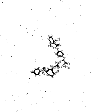 COC(=O)C(Cc1ccc(NC(=O)c2c(Cl)cccc2Cl)cc1)NC(=O)Nc1cc(S(=O)(=O)c2ccc(C)cc2)ccc1Cl